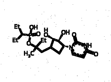 CCC(CC)P(=O)(O)OC(C)(CC)CC1C[C@@H](n2ccc(=O)[nH]c2=O)[C@H](O)[C@@H]1O